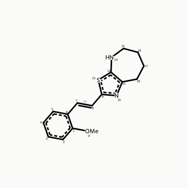 COc1ccccc1/C=C/c1nc2c(s1)NCCCC2